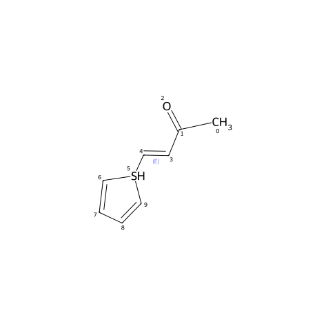 CC(=O)/C=C/[SH]1C=CC=C1